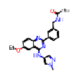 CCOc1ccc2nc(-c3cccc(CNC(=O)C(C)(C)C)c3)nc(Nc3cnn(C)c3)c2c1